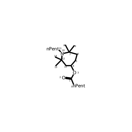 CCCCCC(=O)OC1CCC(C)(C)N(CCCCC)C(C)(C)C1